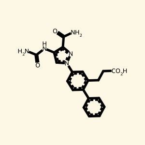 NC(=O)Nc1cn(-c2ccc(-c3ccccc3)c(CCC(=O)O)c2)nc1C(N)=O